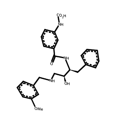 COc1cccc(CNC[C@H](O)[C@H](Cc2ccccc2)NC(=O)c2cccc(NC(=O)O)c2)c1